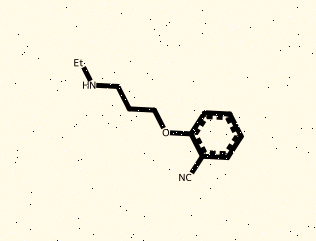 CCNCCCOc1ccccc1C#N